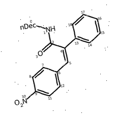 CCCCCCCCCCNC(=O)/C(=C\c1ccc([N+](=O)[O-])cc1)c1ccccc1